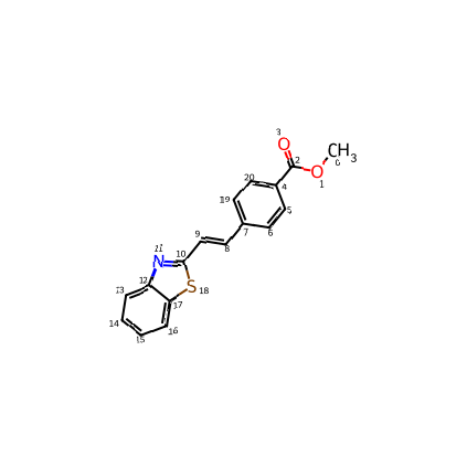 COC(=O)c1ccc(C=Cc2nc3ccccc3s2)cc1